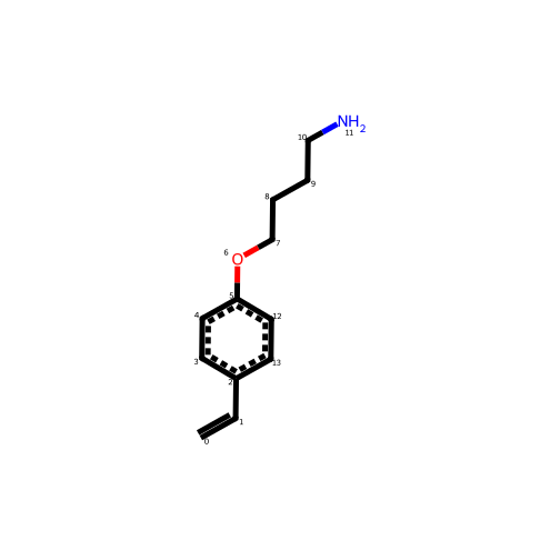 C=Cc1ccc(OCCCCN)cc1